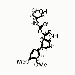 COc1ccc(-c2cnc3[nH]cc(OC(=O)NC(CO)CO)c3n2)cc1OC